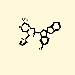 C[C@@H]1CN(CC(=O)N2CC3(Cc4ccccc4C3)c3ccc(Cl)cc32)[C@@H](Cn2cccn2)CN1